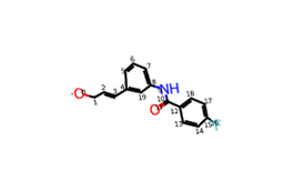 [O]CC=Cc1cccc(NC(=O)c2ccc(F)cc2)c1